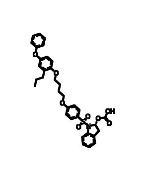 CCCc1cc(Oc2ccccc2)ccc1OCCCCOc1ccc(S(=O)(=O)N2c3ccccc3C[C@H]2OC(=O)O)cc1